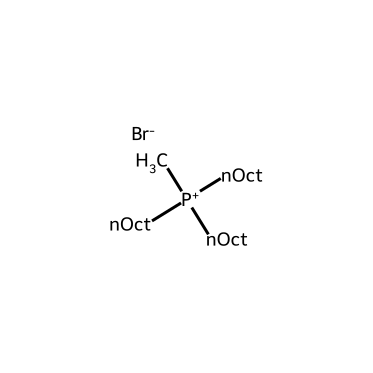 CCCCCCCC[P+](C)(CCCCCCCC)CCCCCCCC.[Br-]